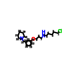 ClCCCCCNCCCOc1cccc(CN2CCCCC2)c1